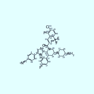 N#Cc1ccc(-c2cnc(C3C(c4ccc(F)cc4)CC(N4CCC(N)CC4)CN3C(=O)C=Cc3c(C(F)(F)F)ccc(Cl)c3F)[nH]2)cc1